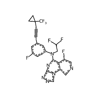 Fc1cc(C#CC2(C(F)(F)F)CC2)cc(N(CC(F)F)c2nc3nncn3c3cncc(F)c23)c1